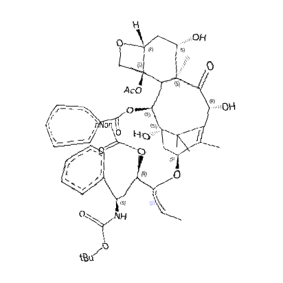 C/C=C(\O[C@H]1C[C@@]2(O)[C@@H](OC(=O)c3ccccc3)C3[C@](C)(C(=O)[C@H](O)C(=C1C)C2(C)C)[C@@H](O)C[C@H]1OC[C@@]31OC(C)=O)[C@H](OC(=O)CCCCCCCCC)[C@@H](NC(=O)OC(C)(C)C)c1ccccc1